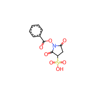 O=C(ON1C(=O)CC(S(=O)(=O)O)C1=O)c1ccccc1